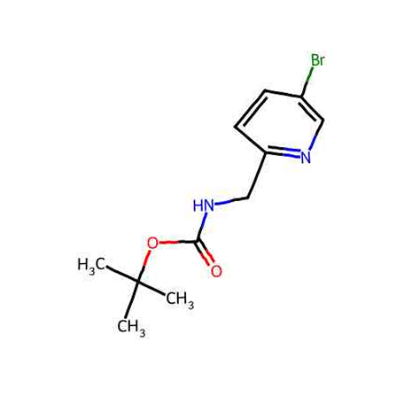 CC(C)(C)OC(=O)NCc1ccc(Br)cn1